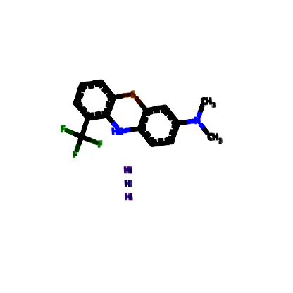 CN(C)c1ccc2c(c1)Sc1cccc(C(F)(F)F)c1N2.I.I.I